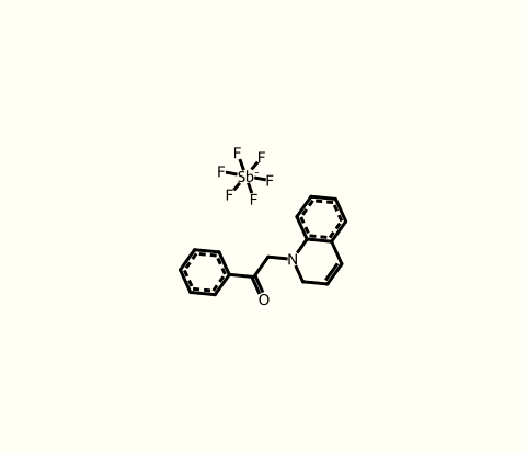 O=C(CN1CC=Cc2ccccc21)c1ccccc1.[F][Sb-]([F])([F])([F])([F])[F]